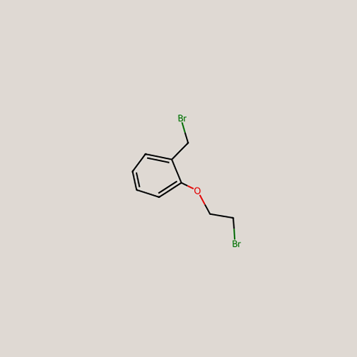 BrCCOc1ccccc1CBr